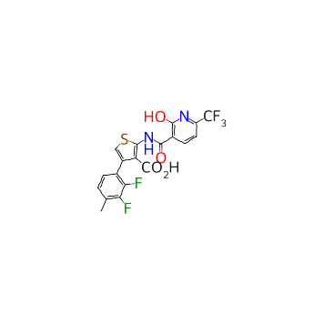 Cc1ccc(-c2csc(NC(=O)c3ccc(C(F)(F)F)nc3O)c2C(=O)O)c(F)c1F